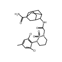 Cc1cc(Cl)c(N2CCCN(CC(=O)NC3C4CC5CC3CC(C(N)=O)(C5)C4)S2(=O)=O)c(Cl)c1